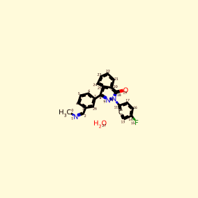 C/N=C\c1cccc(-c2nn(-c3ccc(F)cc3)c(=O)c3ccccc23)c1.O